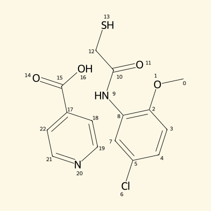 COc1ccc(Cl)cc1NC(=O)CS.O=C(O)c1ccncc1